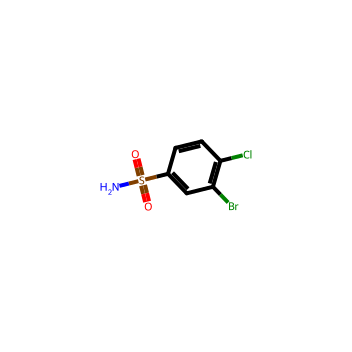 NS(=O)(=O)c1ccc(Cl)c(Br)c1